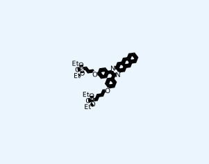 CCOP(=O)(CCCCOc1ccc(-c2nc3cc4cc5ccccc5cc4cc3nc2-c2ccc(OCCCP(=O)(OCC)OCC)cc2)cc1)OCC